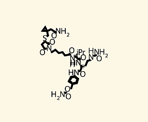 CC(C)[C@H](NC(=O)CCCCCN1C(=O)CC(SCC2(CC(N)=O)CC2)C1=O)C(=O)N[C@@H](CCCNC(N)=O)C(=O)Nc1ccc(COC(N)=O)cc1